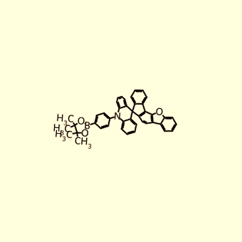 CC1(C)OB(c2ccc(N3c4ccccc4C4(c5ccccc5-c5c4ccc4c5oc5ccccc54)c4ccccc43)cc2)OC1(C)C